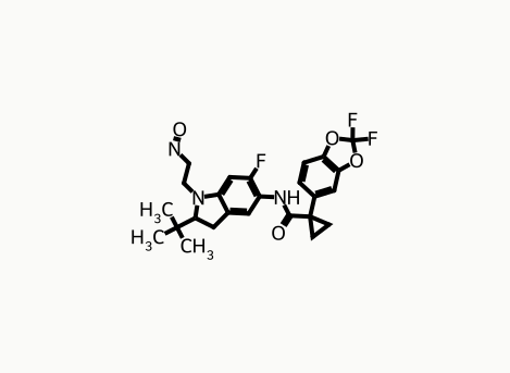 CC(C)(C)C1Cc2cc(NC(=O)C3(c4ccc5c(c4)OC(F)(F)O5)CC3)c(F)cc2N1CCN=O